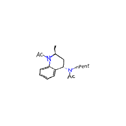 CCCCCN(C(C)=O)[C@H]1C[C@H](C)N(C(C)=O)c2ccccc21